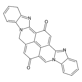 O=c1cc2c3c(cn4c5ccccc5nc24)c(=O)cc2c3c1=c1nc3c(n1C2)=CC=CC3